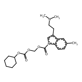 Cc1ccc2c(c1)c(CCN(C)C)cn2C(=O)OCOC(=O)OC1CCCCC1